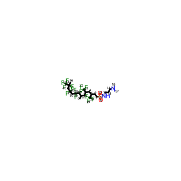 CC(CC(CC(CCS(=O)(=O)NCCCN(C)C)C(F)(F)F)C(F)(F)F)CC(F)(F)CC(F)(F)CC(C)(F)C(F)(F)F